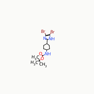 CC(C)(C)OC(=O)NC1CCC(c2nc(Br)c(Br)[nH]2)CC1